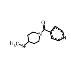 C[N]C1CCN(C(=O)c2ccncc2)CC1